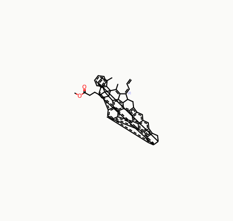 C=C/C=C1\C2=C(C)C34C5=C6C(=CC5C)C5Cc7c8cc9cc%10c%11c%12c%13c(c2c2c%14c%15c(c6c5c5c7c8c6c9c(c%10%12)c(c%13%14)c6c5%15)C23C4(CCCC(=O)OC)c2ccccc2)C1C%11